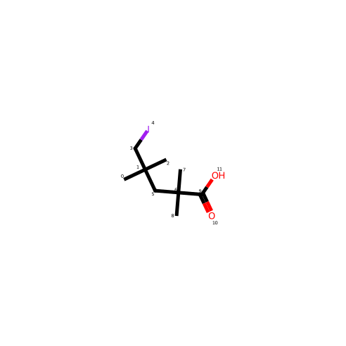 CC(C)(CI)CC(C)(C)C(=O)O